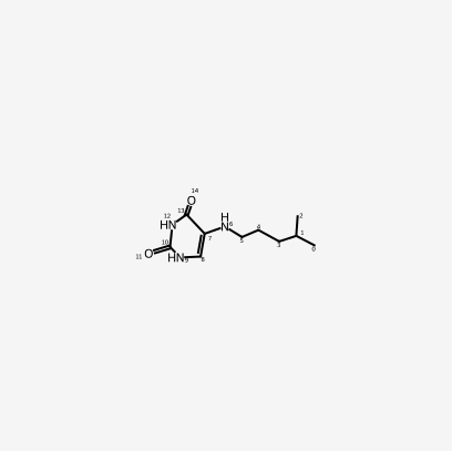 CC(C)CCCNc1c[nH]c(=O)[nH]c1=O